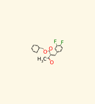 CC(=O)C(=Cc1ccc(F)c(F)c1)C(=O)OCc1ccccc1